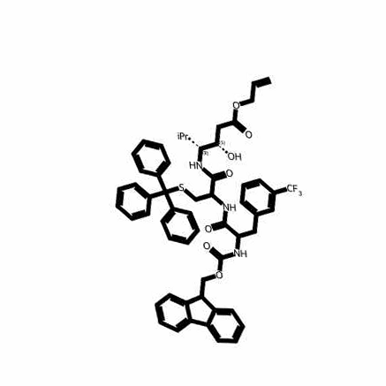 C=CCOC(=O)C[C@H](O)[C@H](NC(=O)C(CSC(c1ccccc1)(c1ccccc1)c1ccccc1)NC(=O)C(Cc1cccc(C(F)(F)F)c1)NC(=O)OCC1c2ccccc2-c2ccccc21)C(C)C